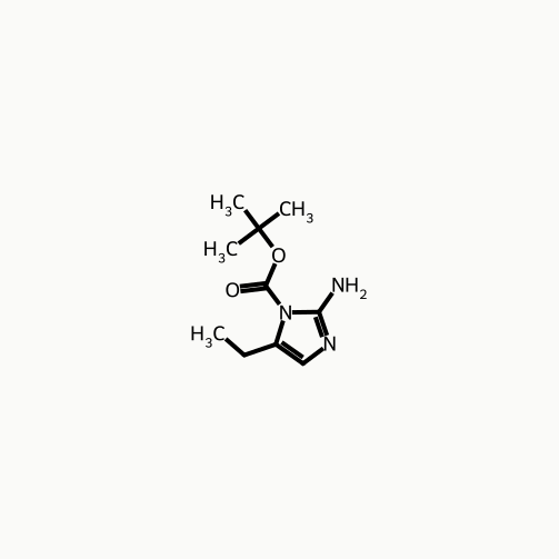 CCc1cnc(N)n1C(=O)OC(C)(C)C